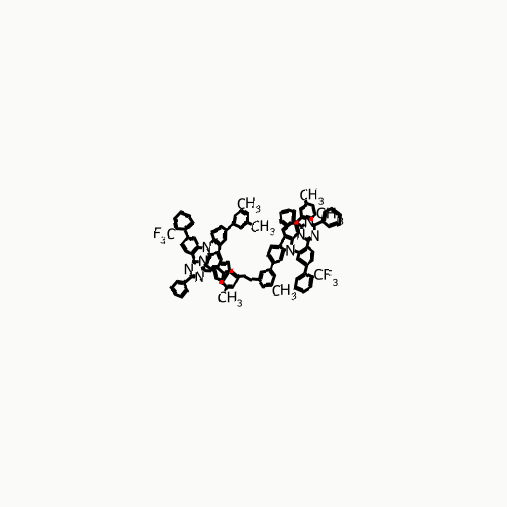 Cc1cc(C)cc(-c2ccc3c(c2)c2cc(-c4cc(C)cc(CCc5cc(C)cc(-c6ccc7c8ccc(-c9cc(C)cc(C)c9)cc8n(-c8cc(-c9ccccc9C(F)(F)F)ccc8-c8nc(-c9ccccc9)nc(-c9ccccc9)n8)c7c6)c5)c4)ccc2n3-c2cc(-c3ccccc3C(F)(F)F)ccc2-c2nc(-c3ccccc3)nc(-c3ccccc3)n2)c1